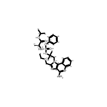 CCOCc1nc2c(N)nc3ccccc3c2n1CC(C)(C)O[P@@](=O)(N[C@@H](C)C(=O)OC(C)C)Oc1ccccc1